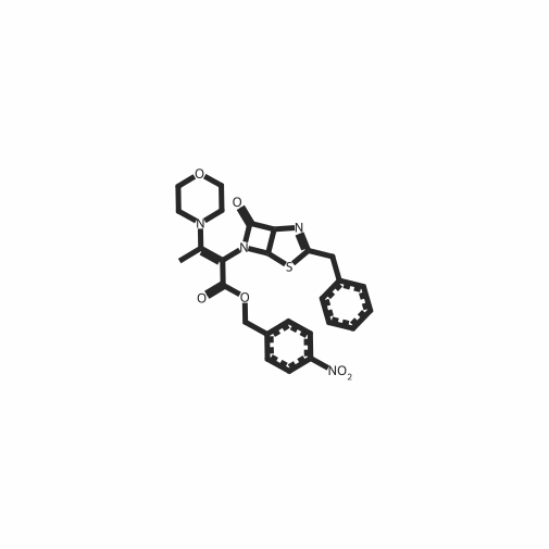 CC(=C(C(=O)OCc1ccc([N+](=O)[O-])cc1)N1C(=O)C2N=C(Cc3ccccc3)SC21)N1CCOCC1